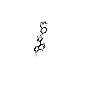 NCC1CCCC(n2cc(-c3ncnc4[nH]ccc34)cn2)C1